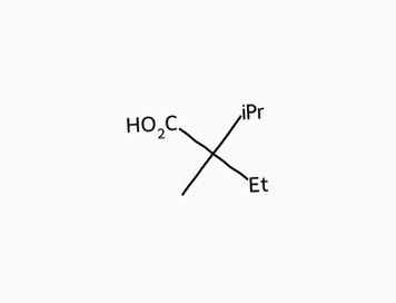 CCC(C)(C(=O)O)C(C)C